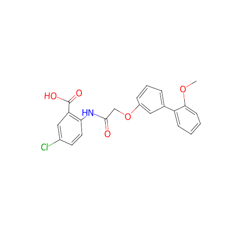 COc1ccccc1-c1cccc(OCC(=O)Nc2ccc(Cl)cc2C(=O)O)c1